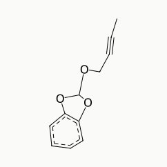 CC#CCOC1Oc2ccccc2O1